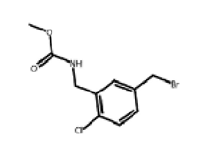 COC(=O)NCc1cc(CBr)ccc1Cl